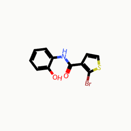 O=C(Nc1ccccc1O)c1ccsc1Br